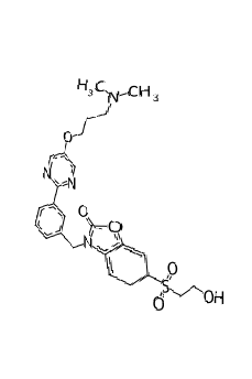 CN(C)CCCOc1cnc(-c2cccc(Cn3c(=O)oc4c3=CCC(S(=O)(=O)CCO)C=4)c2)nc1